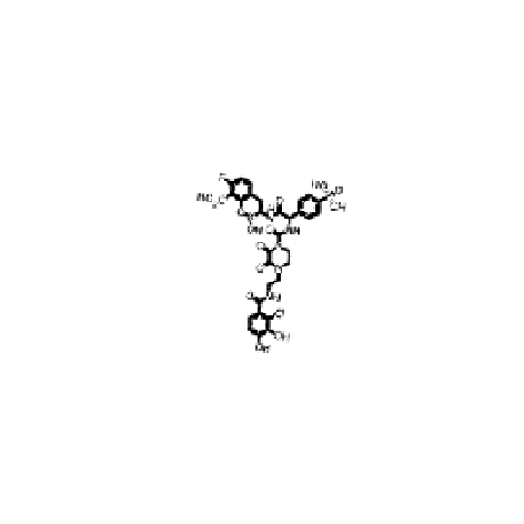 O=C(NCCN1CCN(C(=O)NC(C(=O)NC2Cc3ccc(F)c(C(=O)O)c3OB2O)c2ccc(P(=O)(O)O)cc2)C(=O)C1=O)c1ccc(O)c(O)c1Cl